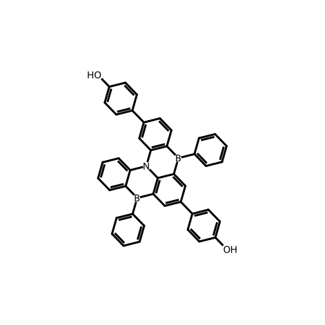 Oc1ccc(-c2cc3c4c(c2)B(c2ccccc2)c2ccc(-c5ccc(O)cc5)cc2N4c2ccccc2B3c2ccccc2)cc1